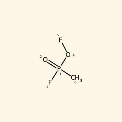 CP(=O)(F)OF